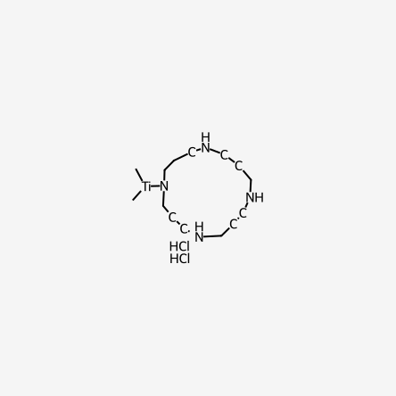 Cl.Cl.[CH3][Ti]([CH3])[N]1CCCNCCCNCCCNCCC1